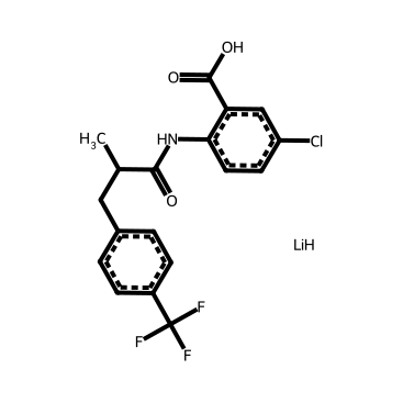 CC(Cc1ccc(C(F)(F)F)cc1)C(=O)Nc1ccc(Cl)cc1C(=O)O.[LiH]